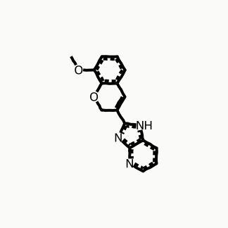 COc1cccc2c1OCC(c1nc3ncccc3[nH]1)=C2